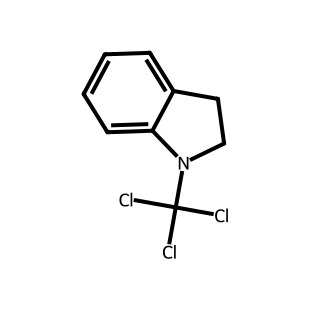 ClC(Cl)(Cl)N1CCc2ccccc21